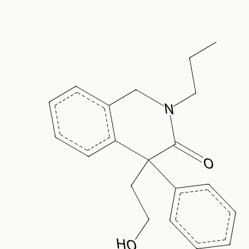 CCCN1Cc2ccccc2C(CCO)(c2ccccc2)C1=O